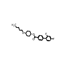 CCCCCO[C@H]1CC[C@H](OC(=O)c2ccc(-c3ccc(F)cc3F)cc2)CC1